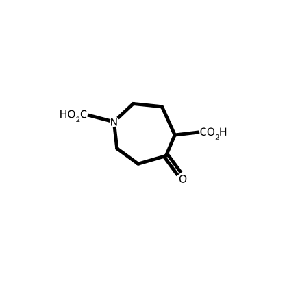 O=C(O)C1CCN(C(=O)O)CCC1=O